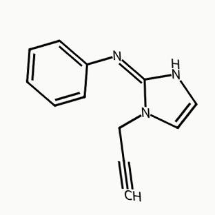 C#CCn1cc[nH]c1=Nc1ccccc1